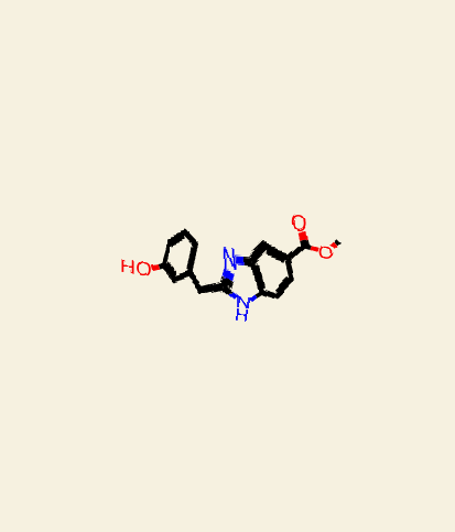 COC(=O)c1ccc2[nH]c(Cc3cccc(O)c3)nc2c1